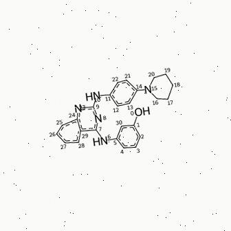 Oc1cccc(Nc2nc(Nc3ccc(N4CCCCC4)cc3)nc3ccccc23)c1